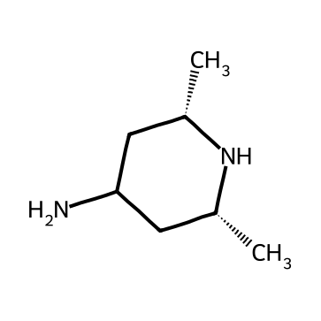 C[C@@H]1CC(N)C[C@H](C)N1